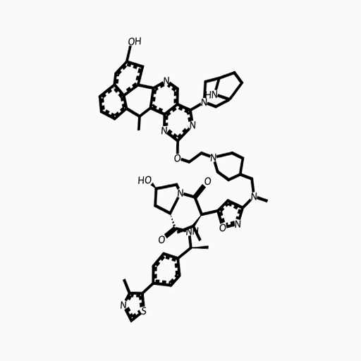 Cc1ncsc1-c1ccc([C@H](C)NC(=O)[C@@H]2C[C@@H](O)CN2C(=O)[C@@H](c2cc(N(C)CC3CCN(CCOc4nc(N5CC6CCC(C5)N6)c5cnc6c(c5n4)C(C)c4cccc5cc(O)cc-6c45)CC3)no2)C(C)C)cc1